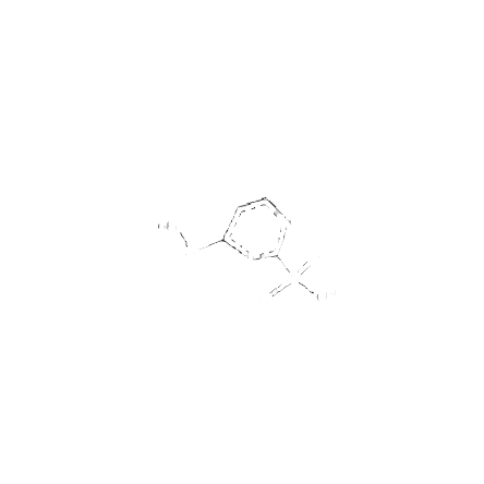 CCCOc1ccnc(S(C)(=O)=O)n1